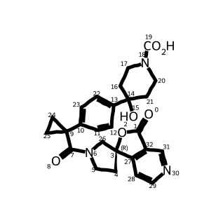 O=C1O[C@]2(CCN(C(=O)C3(c4ccc(C5(O)CCN(C(=O)O)CC5)cc4)CC3)C2)c2ccncc21